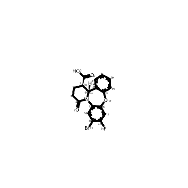 O=C(O)[C@@H]1CCC(=O)N2c3cc(Br)c(F)cc3Oc3ccccc3[C@@H]12